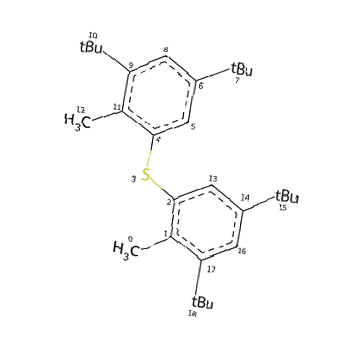 Cc1c(Sc2cc(C(C)(C)C)cc(C(C)(C)C)c2C)cc(C(C)(C)C)cc1C(C)(C)C